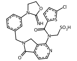 N=C1OCCN1c1cccc(CN2Cc3c(ccnc3N(CS(=O)(=O)O)C(=O)c3ccc(Cl)s3)C2=O)c1